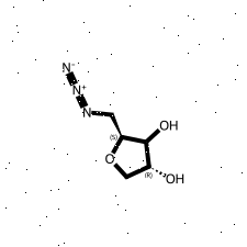 [N-]=[N+]=NC[C@@H]1OC[C@@H](O)C1O